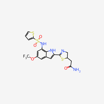 NC(=O)CC1CN=C(c2cc3cc(OC(F)(F)F)cc(NS(=O)(=O)c4cccs4)c3[nH]2)S1